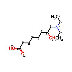 CCN(CC)CC(O)CCCCCC(=O)O